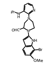 COc1ccc2cc(N3CCN(c4ncccc4NC(C)C)CC3C=O)[nH]c2c1Br